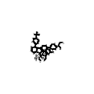 CCC1=Cc2c(-c3ccc(C(C)CC)cc3)cccc2[CH]1[Zr]([Cl])([Cl])([CH]1C(C2CCC(C)CC2)=Cc2c(-c3ccc(C(C)(C)C)cc3)cccc21)[SiH](C)C